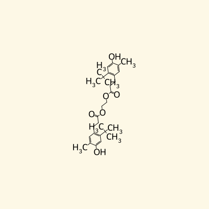 Cc1cc(CCC(=O)OCCOC(=O)CCc2cc(C)c(O)cc2C(C)(C)C)c(C(C)(C)C)cc1O